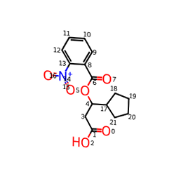 O=C(O)CC(OC(=O)c1ccccc1[N+](=O)[O-])C1CCCC1